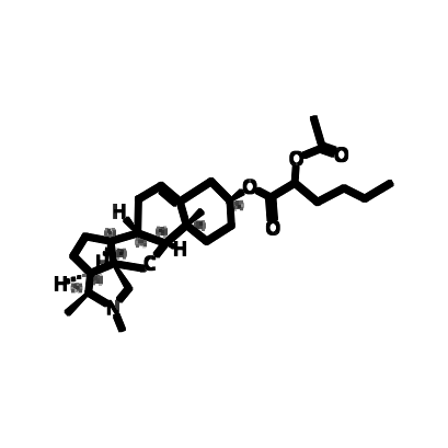 CCCCC(OC(C)=O)C(=O)O[C@H]1CC[C@@]2(C)C(=CC[C@H]3[C@@H]4CC[C@@H]5[C@H](C)N(C)C[C@@]54CC[C@@H]32)C1